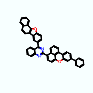 c1ccc(-c2ccc3c(c2)Oc2ccc(-c4nc(-c5ccc6oc7c8ccccc8ccc7c6c5)c5ccccc5n4)c4cccc-3c24)cc1